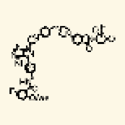 COc1ccc(F)cc1C(=O)NCc1ccc(-c2nn(C3CCN(c4ccc(CN5CCN(c6ccc7c(c6)CN(C6CCC(=O)NC6=O)C7=O)CC5)cc4)C3)c3ncnc(N)c23)cc1